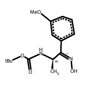 COc1cccc(/C(=N/O)[C@@H](C)NC(=O)OC(C)(C)C)c1